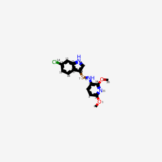 COc1ccc(NSc2c[nH]c3cc(Cl)ccc23)c(OC)n1